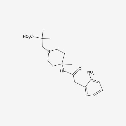 CC1(NC(=O)Cc2ccccc2[N+](=O)[O-])CCN(CC(C)(C)C(=O)O)CC1